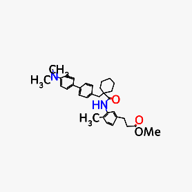 COC(=O)CCc1ccc(C)c(NC(=O)C2(Cc3ccc(-c4ccc(N(C)C)cc4)cc3)CCCCC2)c1